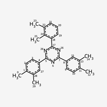 Cc1ccc(-c2nc(-c3ccc(C)c(C)c3)nc(-c3cccc(C)c3C)n2)cc1C